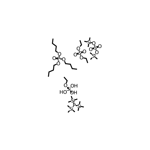 CCCCOP(=O)(OCCCC)OCCCC.CCOS(=O)(=O)OCC.CCO[Si](O)(O)O.C[Si](C)(C)OS(=O)(=O)O[Si](C)(C)C.C[Si](C)(C)P([Si](C)(C)C)[Si](C)(C)C